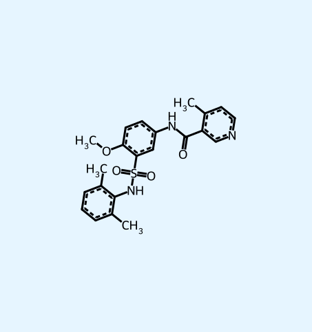 COc1ccc(NC(=O)c2cnccc2C)cc1S(=O)(=O)Nc1c(C)cccc1C